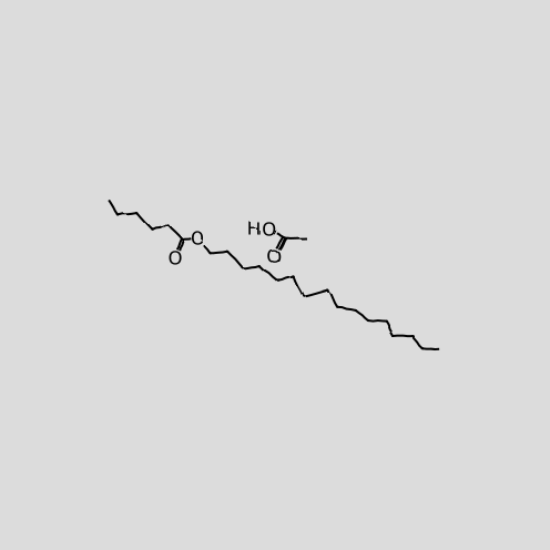 CC(=O)O.CCCCCCCCCCCCCCCCOC(=O)CCCCC